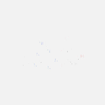 C[C@]1(O)C(O)[C@@H](CO)O[C@H]1n1cnc2c(NC3CC3)nc(N)nc21